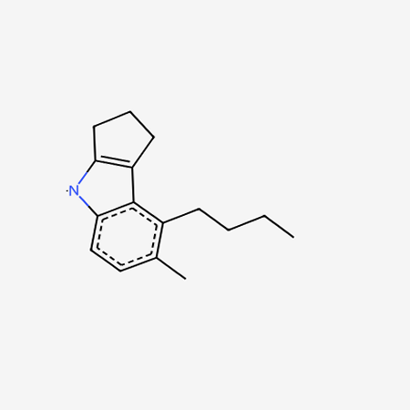 CCCCc1c(C)ccc2c1C1=C(CCC1)[N]2